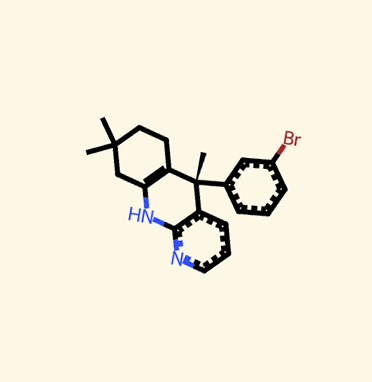 CC1(C)CCC2=C(C1)Nc1ncccc1[C@@]2(C)c1cccc(Br)c1